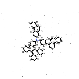 c1ccc(-c2c(-c3ccccc3)c3cc(N(c4ccc(-c5cccc6c5ccc5ccccc56)cc4)c4ccc5c(ccc6ccccc65)c4)ccc3c3ccccc23)cc1